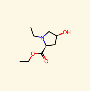 CCOC(=O)[C@@H]1C[C@H](O)CN1CC